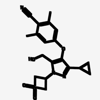 Cc1cc(Oc2c(C3CC3)nn(C3CS(=O)(=O)C3)c2CO)cc(C)c1C#N